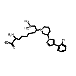 NC(CCCCCC(CB(O)O)N1CCCC(n2cc(-c3ccccc3Cl)cn2)C1)C(=O)O